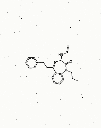 CCCN1C(=O)C(NC=O)N=C(CCc2ccccc2)c2ccccc21